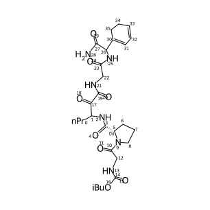 CCCC(NC(=O)[C@@H]1CCCN1C(=O)CNC(=O)OCC(C)C)C(=O)C(=O)NCC(=O)NC(C(N)=O)C1=CC=CCC1